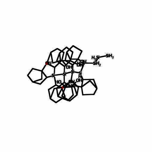 OC12CCC(CC1[SiH]([SiH2][SiH2][SiH2][SiH3])[Si](C1CC3CCC1(O)C3)(C1CC3CCC1(O)C3)[Si](C1CC3CCC1(O)C3)(C1CC3CCC1(O)C3)[Si](C1CC3CCC1(O)C3)(C1CC3CCC1(O)C3)C1CC3CCC1(O)C3)C2